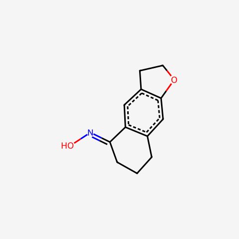 O/N=C1\CCCc2cc3c(cc21)CCO3